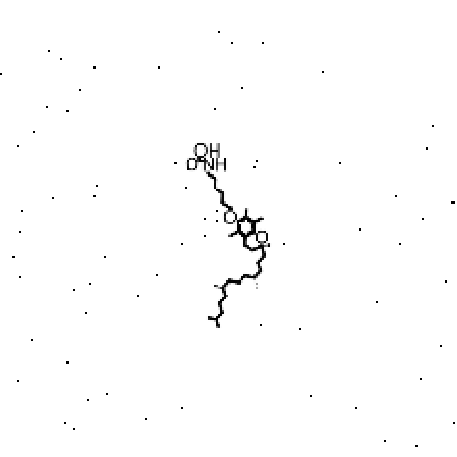 Cc1c(C)c2c(c(C)c1OCCCCCCNC(=O)O)CC[C@@](C)(CCC[C@H](C)CCC[C@H](C)CCCC(C)C)O2